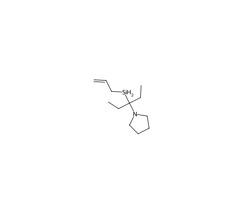 C=CC[SiH2]C(CC)(CC)N1CCCC1